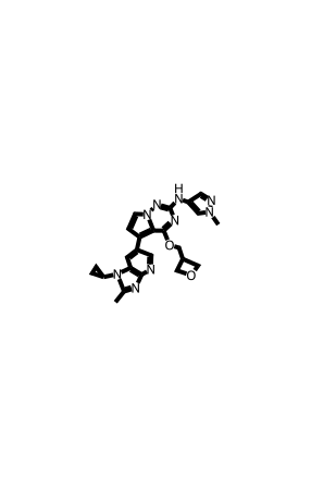 Cc1nc2ncc(-c3ccn4nc(Nc5cnn(C)c5)nc(OCC5COC5)c34)cc2n1C1CC1